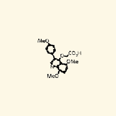 COc1ccc(-c2cnc3c(OC)ccc(OC)c3c2OCC(=O)O)cc1